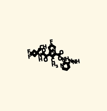 C#CC1(NC(=O)C(=O)c2c(C)c(C(=O)ONc3ncccc3N=N)n3c2C[C@@H](F)C3)CC(F)(F)C1